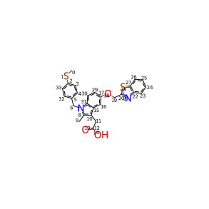 CSc1ccc(Cn2c(C)c(CC(=O)O)c3cc(OCc4nc5ccccc5s4)ccc32)cc1